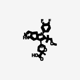 COCC(C)(C)c1c([C@@H]2CC[C@@](C)(C(=O)O)OC2)c2cc3[nH]ncc3cc2n1-c1ccc(F)c(F)c1